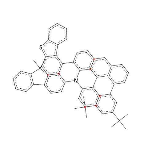 CC(C)(C)c1cc(-c2cccc3cccc(-c4ccccc4N(c4ccc5c(c4)C(C)(C)c4ccccc4-5)c4ccccc4-c4cccc5sc6ccccc6c45)c23)cc(C(C)(C)C)c1